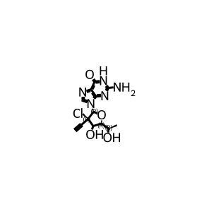 C#C[C@@]1(Cl)C(O)[C@@H]([C@@H](C)O)O[C@H]1n1cnc2c(=O)[nH]c(N)nc21